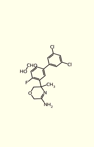 CC1(c2cc(-c3cc(Cl)cc(Cl)c3)ccc2F)COCC(N)=N1.O=CO